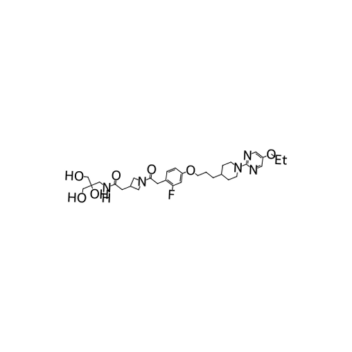 CCOc1cnc(N2CCC(CCCOc3ccc(CC(=O)N4CC(CC(=O)NCC(O)(CO)CO)C4)c(F)c3)CC2)nc1